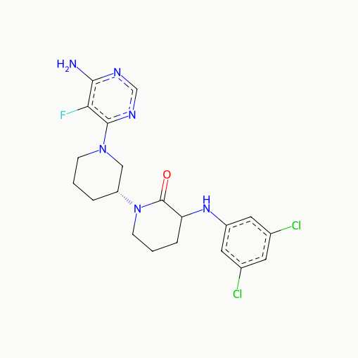 Nc1ncnc(N2CCC[C@@H](N3CCCC(Nc4cc(Cl)cc(Cl)c4)C3=O)C2)c1F